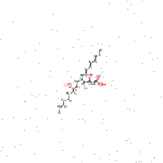 CCCCCCCCCC(CCC(O)CCCCCCC)C(C)C(=O)CC(=O)O